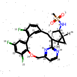 CS(=O)(=O)N[C@@H]1C[C@]2(Cc3ccc(F)c(c3)-c3cc(F)cc(F)c3OCc3ccnc2n3)[C@H]2C[C@@H]12